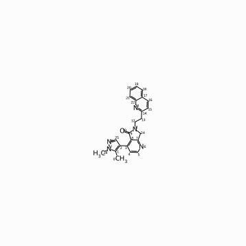 Cc1c(-c2ccnc3c2C(=O)N(CCc2ccc4ccccc4n2)C3)cnn1C